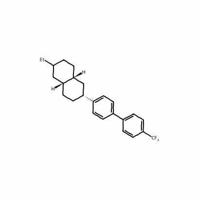 CCC1CC[C@@H]2C[C@H](c3ccc(-c4ccc(C(F)(F)F)cc4)cc3)CC[C@@H]2C1